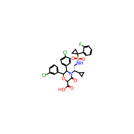 O=C(O)C1OC(c2cccc(Cl)c2)C(c2ccc(Cl)cc2)N([C@H](CNS(=O)(=O)C2(c3ccccc3F)CC2)C2CC2)C1=O